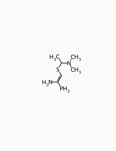 CC(S/C=C(\N)P)N(C)C